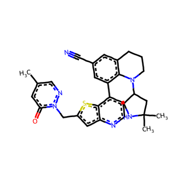 Cc1cnn(Cc2cc3nccc(-c4cc(C#N)cc5c4N(C4CNC(C)(C)C4)CCC5)c3s2)c(=O)c1